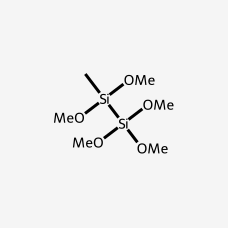 CO[Si](C)(OC)[Si](OC)(OC)OC